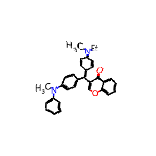 CC[N+](C)=C1C=CC(=C(c2ccc(N(C)c3ccccc3)cc2)c2coc3ccccc3c2=O)C=C1